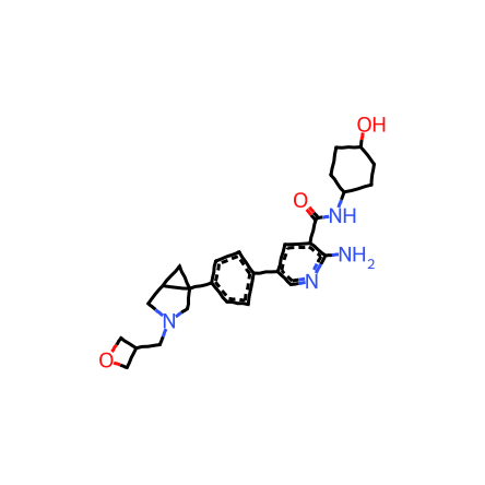 Nc1ncc(-c2ccc(C34CC3CN(CC3COC3)C4)cc2)cc1C(=O)NC1CCC(O)CC1